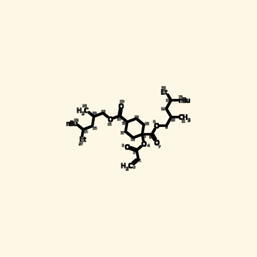 C=CC(=O)OC1(C(=O)OCC(C)CC(CC)CCCC)CCC(C(=O)OCC(C)CC(CC)CCCC)CC1